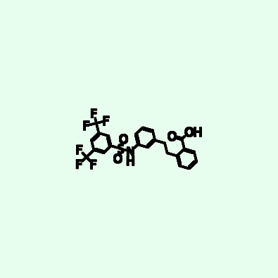 O=C(O)c1ccccc1CCc1cccc(NS(=O)(=O)c2cc(C(F)(F)F)cc(C(F)(F)F)c2)c1